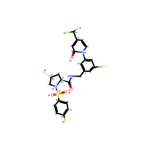 O=C(NCc1cc(F)cc(-n2ccc(C(F)F)cc2=O)c1)[C@@H]1C[C@@H](F)CN1S(=O)(=O)c1ccc(F)cc1